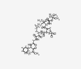 CN(C)C(=O)C(NC(=O)CNC(=O)C(=O)C(CC1CC1)NC(=O)[C@@H]1C2C(CN1C(=O)C(NC(=O)OC(C)(C)C)C(C)(C)C)C2(Cl)Cl)c1ccccc1